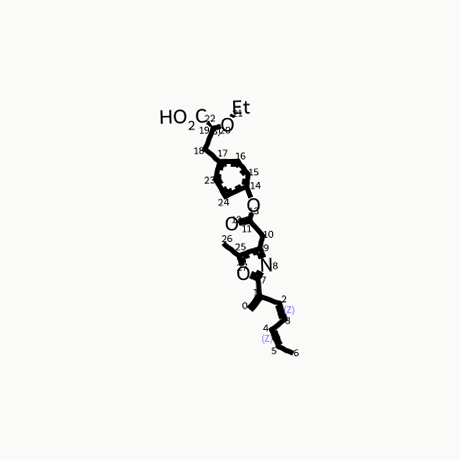 C=C(/C=C\C=C/C)c1nc(CC(=O)Oc2ccc(C[C@H](OCC)C(=O)O)cc2)c(C)o1